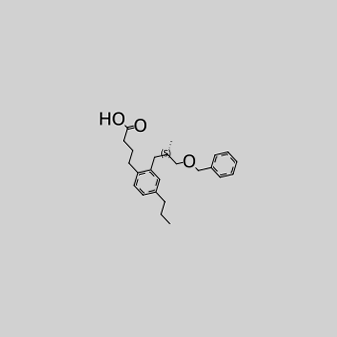 CCCc1ccc(CCCC(=O)O)c(C[C@H](C)COCc2ccccc2)c1